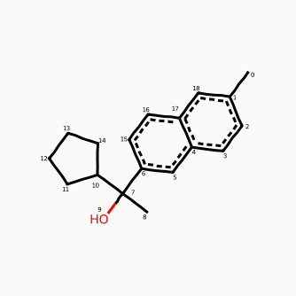 Cc1ccc2cc(C(C)(O)C3CCCC3)ccc2c1